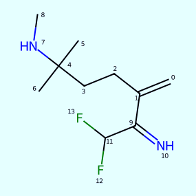 C=C(CCC(C)(C)NC)C(=N)C(F)F